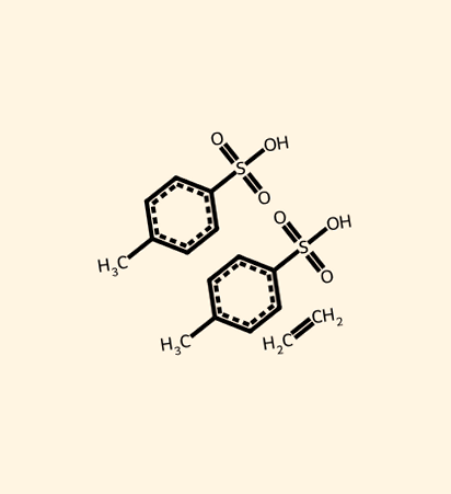 C=C.Cc1ccc(S(=O)(=O)O)cc1.Cc1ccc(S(=O)(=O)O)cc1